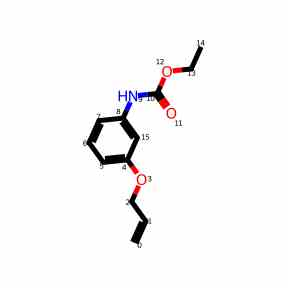 C=CCOc1cccc(NC(=O)OCC)c1